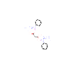 NN(OC(=O)CC(=O)ON(N)c1ccccc1)c1ccccc1